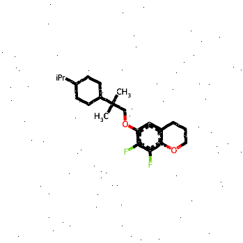 CC(C)C1CCC(C(C)(C)COc2cc3c(c(F)c2F)OCCC3)CC1